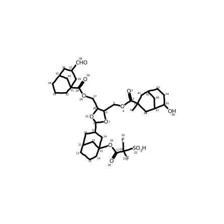 CC1(C(=O)OCC2OC(C3CC4CCCC(OC(=O)C(F)(F)S(=O)(=O)O)(C4)C3)OC2COC(=O)C23CCCC(CC(C=O)C2)C3)CC2CCC(O)C(C2)C1